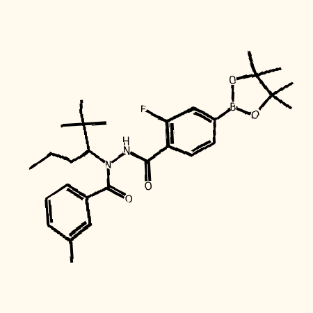 CCCC(N(NC(=O)c1ccc(B2OC(C)(C)C(C)(C)O2)cc1F)C(=O)c1cccc(C)c1)C(C)(C)C